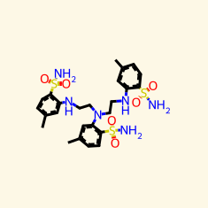 Cc1ccc(S(N)(=O)=O)c(NCCN(CCNc2cc(C)ccc2S(N)(=O)=O)c2cc(C)ccc2S(N)(=O)=O)c1